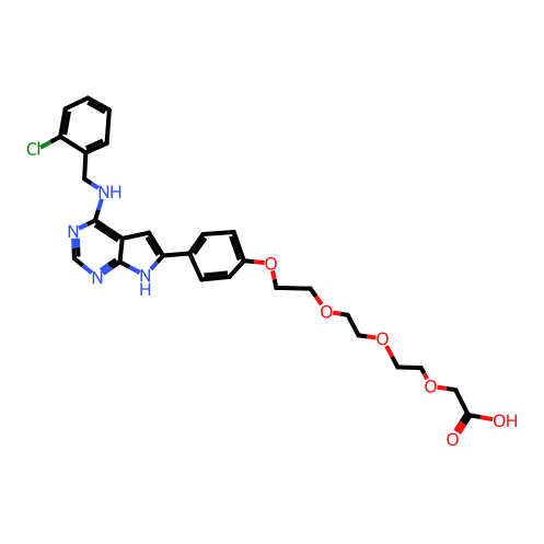 O=C(O)COCCOCCOCCOc1ccc(-c2cc3c(NCc4ccccc4Cl)ncnc3[nH]2)cc1